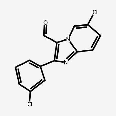 O=Cc1c(-c2cccc(Cl)c2)nc2ccc(Cl)cn12